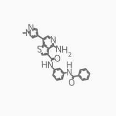 Cn1cc(-c2cnc(N)c3c(C(=O)Nc4cccc(NC(=O)c5ccccc5)c4)csc23)cn1